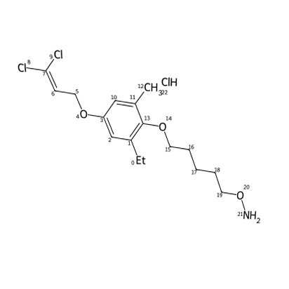 CCc1cc(OCC=C(Cl)Cl)cc(C)c1OCCCCCON.Cl